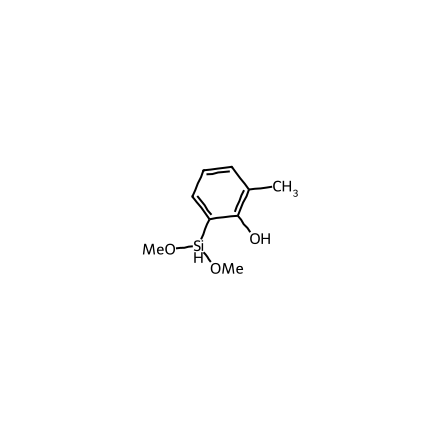 CO[SiH](OC)c1cccc(C)c1O